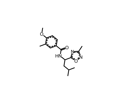 COc1ccc(C(=O)NC(CC(C)C)c2nc(C)no2)cc1C